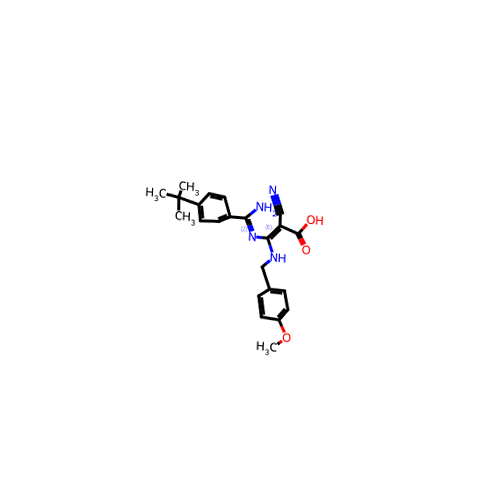 COc1ccc(CNC(/N=C(\N)c2ccc(C(C)(C)C)cc2)=C(/C#N)C(=O)O)cc1